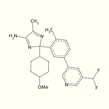 COC1CCC(C2(c3cc(-c4cncc(C(F)F)c4)ccc3C)N=C(C)C(N)=N2)CC1